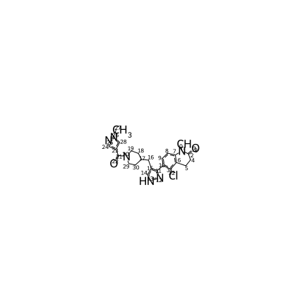 CN1C(=O)CCc2c1ccc(-c1n[nH]cc1CC1CCN(C(=O)c3cnn(C)c3)CC1)c2Cl